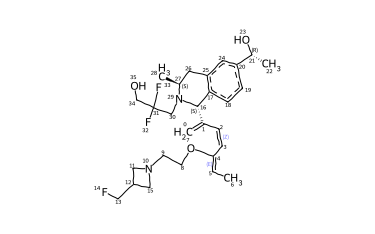 C=C(/C=C\C(=C/C)OCCN1CC(CF)C1)[C@H]1c2ccc([C@@H](C)O)cc2C[C@H](C)N1CC(F)(F)CO